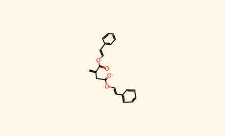 C=C(CC(=O)OC=Cc1ccccc1)C(=O)OC=Cc1ccccc1